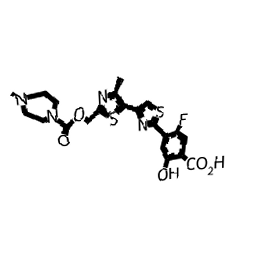 Cc1nc(COC(=O)N2CCN(C)CC2)sc1-c1csc(-c2cc(O)c(C(=O)O)cc2F)n1